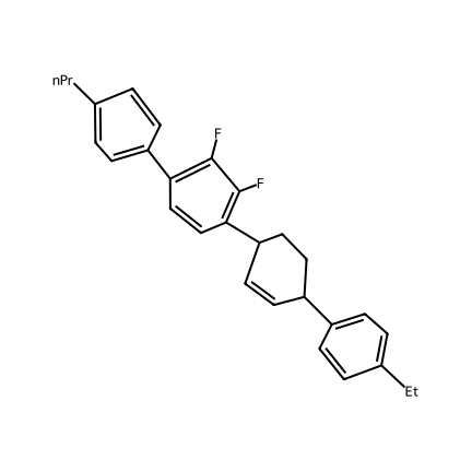 CCCc1ccc(-c2ccc(C3C=CC(c4ccc(CC)cc4)CC3)c(F)c2F)cc1